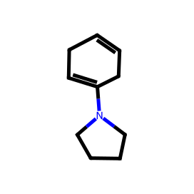 C1=CCC(N2CCCC2)=CC1